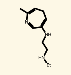 CCNCCNC1=CCC=C(C)N=C1